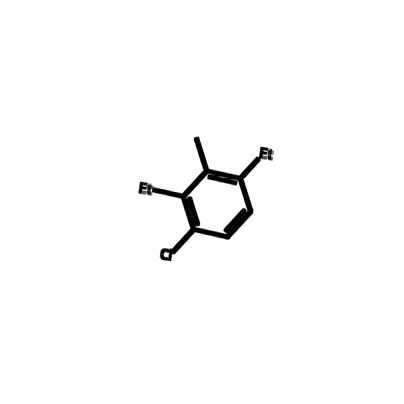 CCc1ccc(Cl)c(CC)c1C